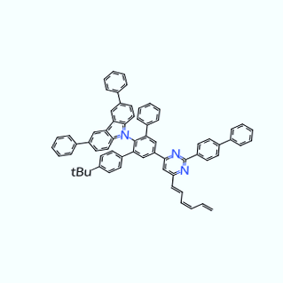 C=C/C=C\C=C\c1cc(-c2cc(-c3ccccc3)c(-n3c4ccc(-c5ccccc5)cc4c4cc(-c5ccccc5)ccc43)c(-c3ccc(C(C)(C)C)cc3)c2)nc(-c2ccc(-c3ccccc3)cc2)n1